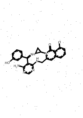 N=C(c1cccc(O)c1)c1c(N)ncnc1NCc1cc2cccc(Cl)c2c(=O)n1C1CC1